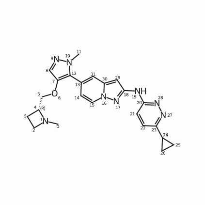 CN1CC[C@@H]1COc1cnn(C)c1-c1ccn2nc(Nc3ccc(C4CC4)nn3)cc2c1